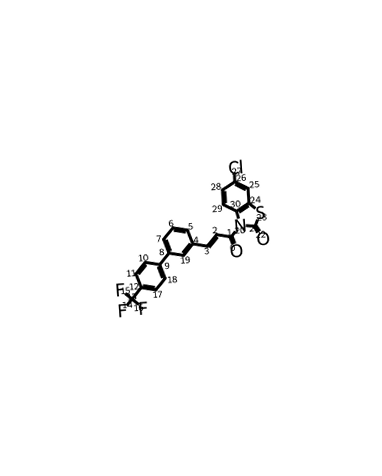 O=C(/C=C/c1cccc(-c2ccc(C(F)(F)F)cc2)c1)n1c(=O)sc2cc(Cl)ccc21